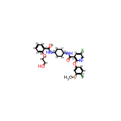 CSc1cc(Oc2ncc(F)cc2C(=O)NC2CCC(NC(=O)c3ccccc3OCCO)CC2)ccc1F